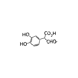 O=[C]C(C(=O)O)c1ccc(O)c(O)c1